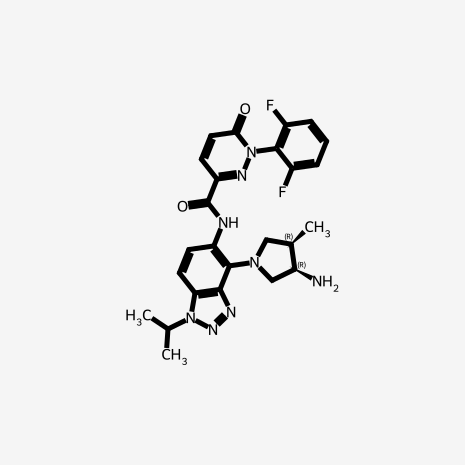 CC(C)n1nnc2c(N3C[C@@H](C)[C@@H](N)C3)c(NC(=O)c3ccc(=O)n(-c4c(F)cccc4F)n3)ccc21